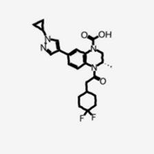 C[C@H]1CN(C(=O)O)c2cc(-c3cnn(C4CC4)c3)ccc2N1C(=O)CC1CCC(F)(F)CC1